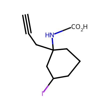 C#CCC1(NC(=O)O)CCCC(I)C1